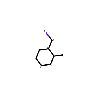 CC1CCCCC1CI